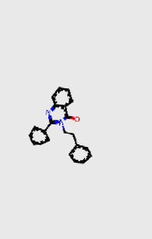 O=c1c2ccccc2nc(-c2ccccc2)n1CCc1ccccc1